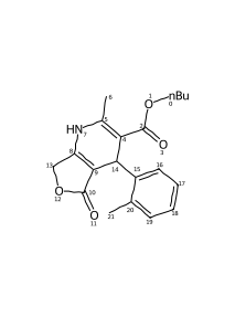 CCCCOC(=O)C1=C(C)NC2=C(C(=O)OC2)C1c1ccccc1C